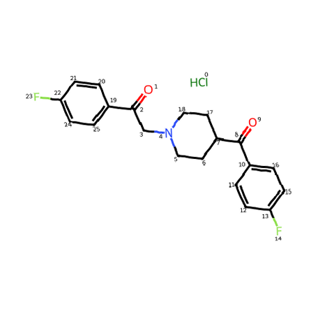 Cl.O=C(CN1CCC(C(=O)c2ccc(F)cc2)CC1)c1ccc(F)cc1